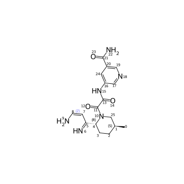 C[C@H]1CC[C@H](C(=N)/C=C\N)N(C(=O)C(=O)Nc2cncc(C(N)=O)c2)C1